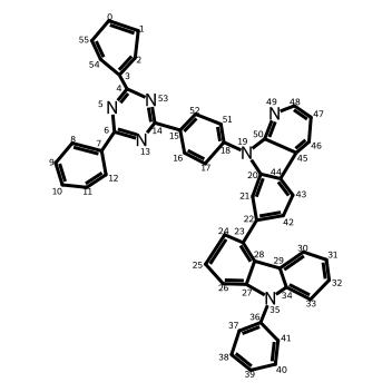 c1ccc(-c2nc(-c3ccccc3)nc(-c3ccc(-n4c5cc(-c6cccc7c6c6ccccc6n7-c6ccccc6)ccc5c5cccnc54)cc3)n2)cc1